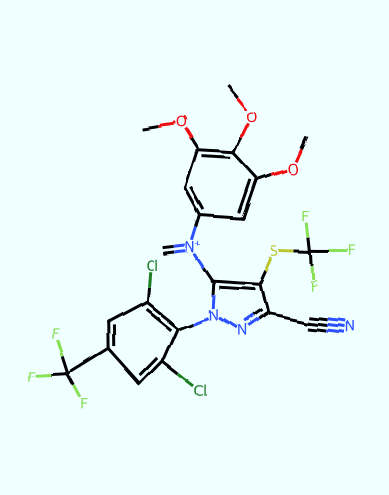 C=[N+](c1cc(OC)c(OC)c(OC)c1)c1c(SC(F)(F)F)c(C#N)nn1-c1c(Cl)cc(C(F)(F)F)cc1Cl